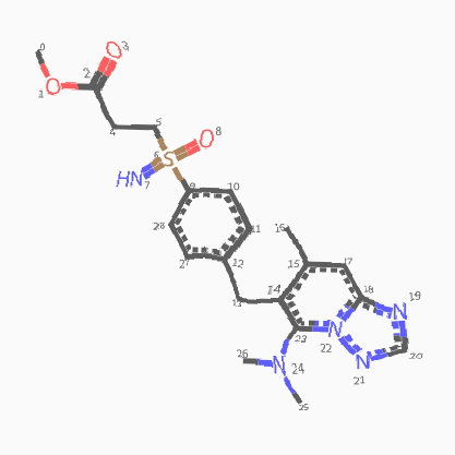 COC(=O)CCS(=N)(=O)c1ccc(Cc2c(C)cc3ncnn3c2N(C)C)cc1